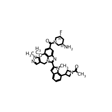 COc1cc(C(=O)N2C[C@H](N)C[C@@H](F)C2)cc2nc(-c3cc4cccc(C5CN(C(C)=O)C5)c4n3C)n(Cc3cnn(C)c3)c12